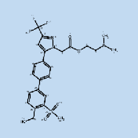 CN(C)CCOC(=O)Cn1nc(C(F)(F)F)cc1-c1ccc(-c2ccc(CO)c(S(C)(=O)=O)c2)cc1